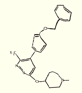 CN1CCC(Oc2cc(-c3ccc(OCc4ccccc4)cc3)c(C(F)(F)F)nn2)CC1